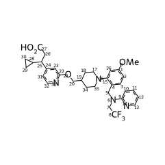 COc1ccc(CN(CC(F)(F)F)c2ccccn2)c(N2CCC(COc3cc(C(CC(=O)O)C4CC4)ccn3)CC2)c1